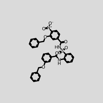 O=C(Nc1ccccc1S(=O)(=O)NC(=O)c1ccc([N+](=O)[O-])c(OCc2ccccc2)c1)c1cccc(OCc2ccccc2)c1